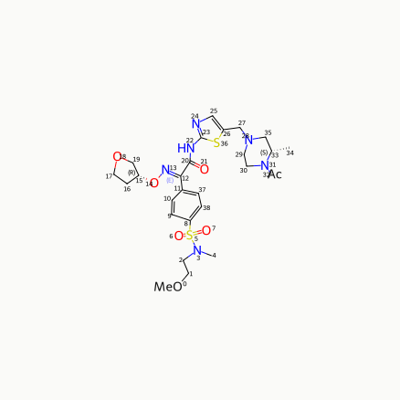 COCCN(C)S(=O)(=O)c1ccc(/C(=N\O[C@@H]2CCOC2)C(=O)Nc2ncc(CN3CCN(C(C)=O)[C@@H](C)C3)s2)cc1